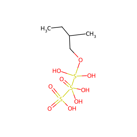 CCC(C)COS(O)(O)S(=O)(O)(O)S(=O)(=O)O